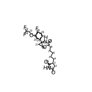 O=C1CC(CCCCCS(=O)(=O)NC2(c3ccc(F)c(OCC(F)F)c3)CC2)C(=O)N1